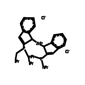 CCCP(CCC)C1=Cc2ccccc2[CH]1[Zr+2][CH]1C(P(CC(C)C)CC(C)C)=Cc2ccccc21.[Cl-].[Cl-]